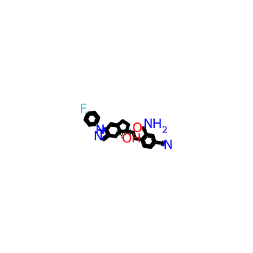 C[C@]12Cc3cnn(-c4ccc(F)cc4)c3C=C1CC[C@@]2(O)CCc1ccc(C#N)cc1C(N)=O